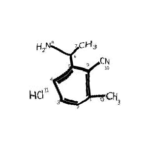 Cc1cccc(C(C)N)c1C#N.Cl